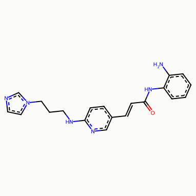 Nc1ccccc1NC(=O)C=Cc1ccc(NCCCn2ccnc2)nc1